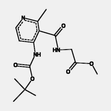 COC(=O)CNC(=O)c1c(NC(=O)OC(C)(C)C)ccnc1C